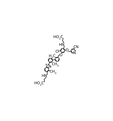 Cc1c(COc2cc(OCc3cncc(C#N)c3)c(CNCCCC(=O)O)cc2Cl)cccc1-c1cccc(-c2nc3c(C)c(CNCCCC(=O)O)ccc3s2)c1C